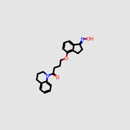 O=C(CCCOc1cccc2c1CCC2=NO)N1CCCc2ccccc21